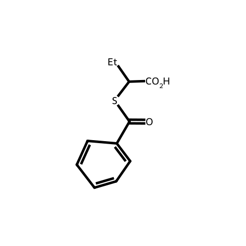 CCC(SC(=O)c1ccccc1)C(=O)O